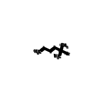 [CH2]CCCC(C)(C)Br